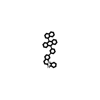 c1cc(-c2ccc3ccc4nc5ccccc5n4c3c2)cc(-c2c3ccccc3c(-c3cccc4ccccc34)c3ccccc23)c1